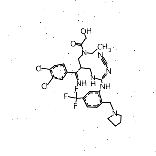 CCN(CC(CN/C(=N\C#N)Nc1cc(C(F)(F)F)ccc1CN1CCCC1)C(=N)c1ccc(Cl)c(Cl)c1)C(=O)CO